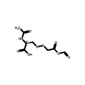 CC(=O)N[C@@H](CSSCC(=O)OC=O)C(=O)O